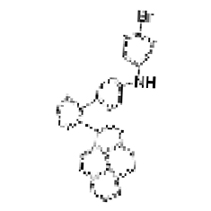 Brc1ccc(Nc2ccc(-c3ccccc3-c3ccc4ccc5cccc6ccc3c4c56)cc2)cc1